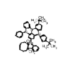 CC(C)(C)c1ccc(N2c3ccc(C(C)(C)C)cc3B3c4ccccc4N(c4ccccc4)c4cc(N5c6ccccc6C6(C)CCCCCCC56C)cc2c43)cc1